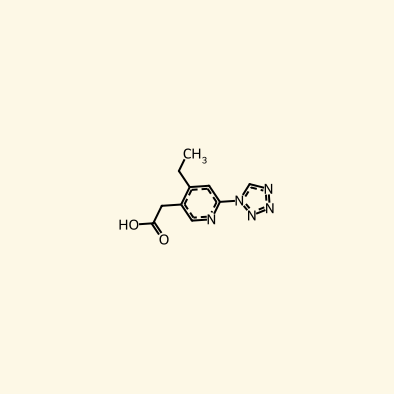 CCc1cc(-n2cnnn2)ncc1CC(=O)O